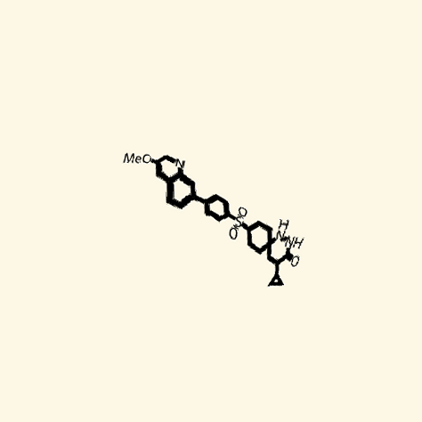 COc1cnc2cc(-c3ccc(S(=O)(=O)C4CCC5(CC4)CC(C4CC4)C(=O)NN5)cc3)ccc2c1